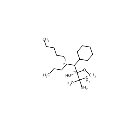 CCCCC[C@@H](CCC)C(C1CCCCC1)[C@@](O)(OC)C(C)(C)N